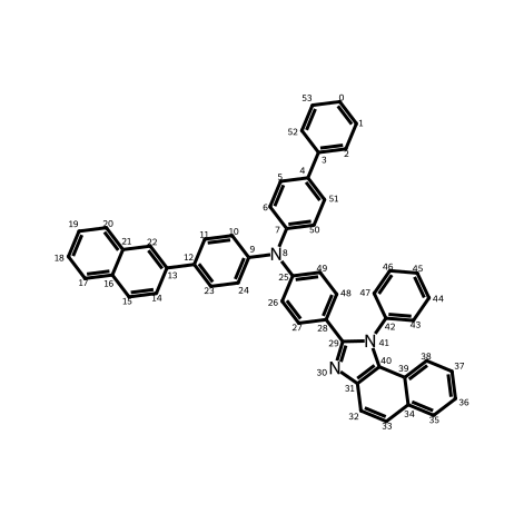 c1ccc(-c2ccc(N(c3ccc(-c4ccc5ccccc5c4)cc3)c3ccc(-c4nc5ccc6ccccc6c5n4-c4ccccc4)cc3)cc2)cc1